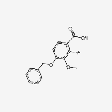 COc1c(OCc2ccccc2)ccc(C(=O)O)c1F